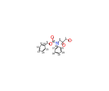 [O]CC(=O)CN(C(=O)OCc1ccccc1)c1ccccc1